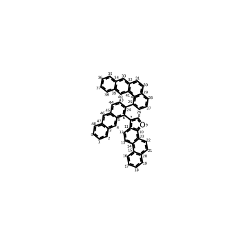 c1ccc2cc3c(-c4coc5c4ccc4c6ccccc6ccc45)c(-c4cccc5ccc6cc7ccccc7cc6c45)ccc3cc2c1